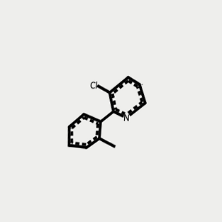 Cc1ccccc1-c1nc[c]cc1Cl